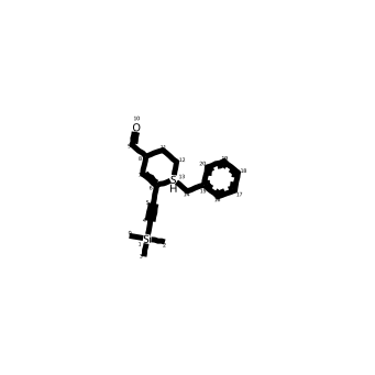 C[Si](C)(C)C#CC1=CC(C=O)CC[SH]1Cc1ccccc1